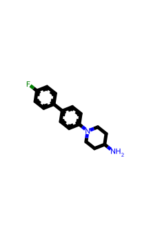 NC1CCN(c2ccc(-c3ccc(F)cc3)cc2)CC1